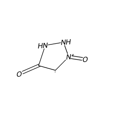 O=C1[CH][N+](=O)NN1